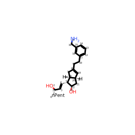 CCCCC[C@H](O)/C=C/[C@@H]1[C@H]2CC(CCc3cccc(CN)c3)=C[C@H]2C[C@H]1O